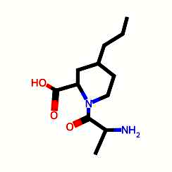 CCCC1CCN(C(=O)C(C)N)C(C(=O)O)C1